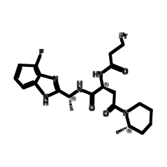 CC(C)CCC(=O)N[C@@H](CC(=O)N1CCCC[C@@H]1C)C(=O)N[C@H](C)c1nc2c(F)cccc2[nH]1